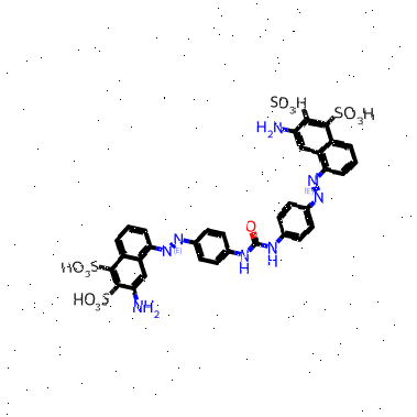 Nc1cc2c(/N=N/c3ccc(NC(=O)Nc4ccc(/N=N/c5cccc6c(S(=O)(=O)O)c(S(=O)(=O)O)c(N)cc56)cc4)cc3)cccc2c(S(=O)(=O)O)c1S(=O)(=O)O